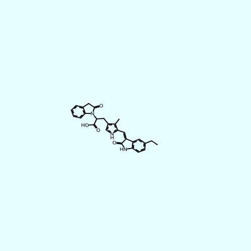 CCc1ccc2c(c1)C(=Cc1[nH]cc(CC(C(=O)O)N3C(=O)Cc4ccccc43)c1C)C(=O)N2